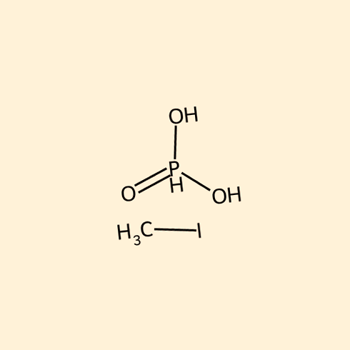 CI.O=[PH](O)O